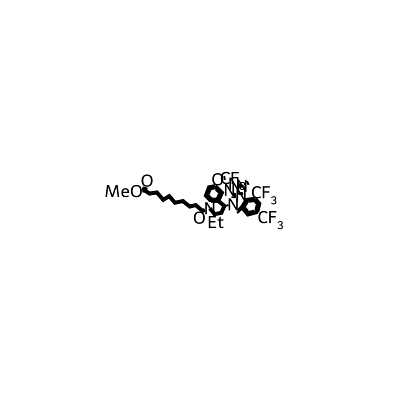 CC[C@@H]1C[C@H](N(Cc2cc(C(F)(F)F)cc(C(F)(F)F)c2)c2nnn(C)n2)c2cc(OC(F)(F)F)ccc2N1C(=O)CCCCCCCCC(=O)OC